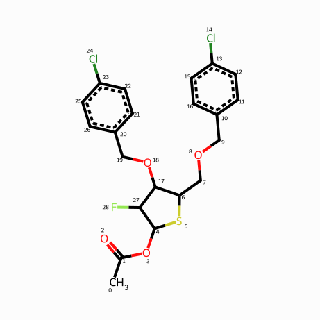 CC(=O)OC1SC(COCc2ccc(Cl)cc2)C(OCc2ccc(Cl)cc2)C1F